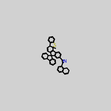 CC12Sc3ccccc3C1C=CC1=C2c2ccc(C3N=C3c3cccc4c3CCC=C4)cc2C12c1ccccc1C1C=CC=CC12